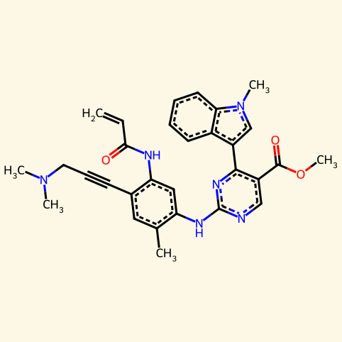 C=CC(=O)Nc1cc(Nc2ncc(C(=O)OC)c(-c3cn(C)c4ccccc34)n2)c(C)cc1C#CCN(C)C